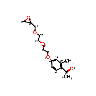 CC(=O)c1ccc(OCCOCCOCC2CO2)cc1C